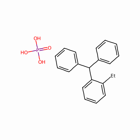 CCc1ccccc1C(c1ccccc1)c1ccccc1.O=P(O)(O)O